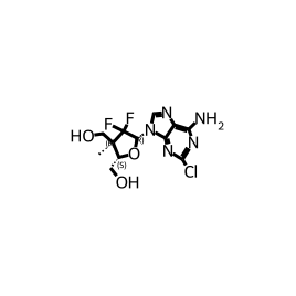 C[C@@]1(CO)[C@@H](CO)O[C@@H](n2cnc3c(N)nc(Cl)nc32)C1(F)F